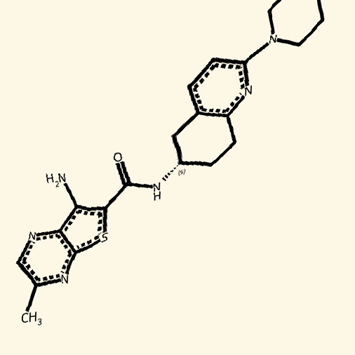 Cc1cnc2c(N)c(C(=O)N[C@H]3CCc4nc(N5CCNCC5)ccc4C3)sc2n1